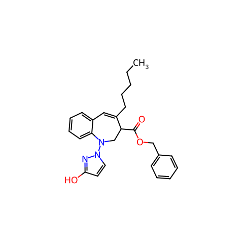 CCCCCC1=Cc2ccccc2N(n2ccc(O)n2)CC1C(=O)OCc1ccccc1